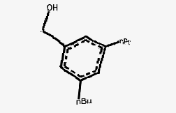 CCCCc1cc([CH]O)cc(CCC)c1